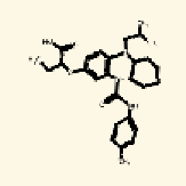 CCC(Oc1ccc(N(CC(C)C)C2CCCCC2)c(NC(=O)Nc2ccc(C)cc2)c1)C(=O)O